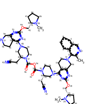 Cc1ncc2ccccc2c1N1CCc2c(nc(OC[C@@H]3CCCN3C)nc2N2CCN(C(=O)OC(=O)N3CCN(c4nc(OC[C@@H]5CCCN5C)nc5c4CCNC5)C[C@@H]3CC#N)[C@@H](CC#N)C2)C1